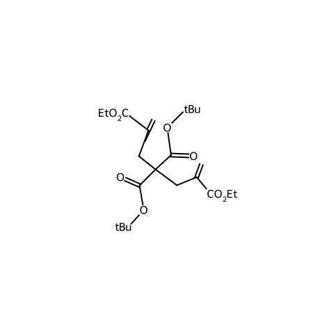 C=C(CC(CC(=C)C(=O)OCC)(C(=O)OC(C)(C)C)C(=O)OC(C)(C)C)C(=O)OCC